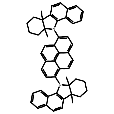 CC12CCCCC1(C)N(c1ccc3ccc4c(N5c6c(ccc7ccccc67)C6(C)CCCCC56C)ccc5ccc1c3c54)c1c2ccc2ccccc12